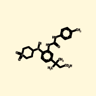 CCN(c1ccc(C(C)(C)CC(=O)O)cc1NC(=O)Nc1ccc(C)cc1)C1CCS(=O)(=O)CC1